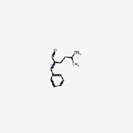 CC(C)CC/C(C=O)=C\c1ccccc1